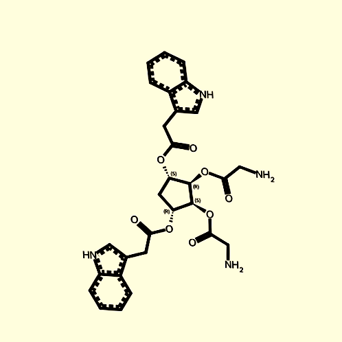 NCC(=O)O[C@@H]1[C@H](OC(=O)CN)[C@@H](OC(=O)Cc2c[nH]c3ccccc23)C[C@H]1OC(=O)Cc1c[nH]c2ccccc12